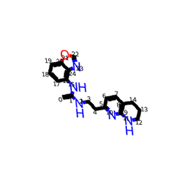 C=C(NCCc1ccc2c(n1)NCCC2)Nc1cccc2ocnc12